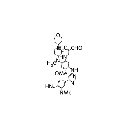 C=C(C=O)CNc1cc(Nc2cc(-c3ccc(C=N)c(NC)c3)ncn2)c(OC)cc1N(C)C1CCN(C2CCOCC2)CC1